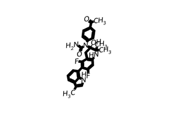 CC(=O)c1ccc(N(C(N)=O)[C@]2(O)Cc3c(cc(F)c(-c4cccc5c(C)c[nH]c45)c3F)NC2(C)C)cc1